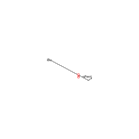 CCCCC/C=C\C/C=C\CCCCCCCC(=O)OCCCCCCCCCCCCCCCCCCCCCCCCCC(C)CC